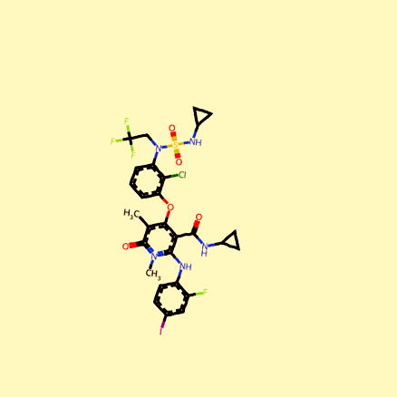 Cc1c(Oc2cccc(N(CC(F)(F)F)S(=O)(=O)NC3CC3)c2Cl)c(C(=O)NC2CC2)c(Nc2ccc(I)cc2F)n(C)c1=O